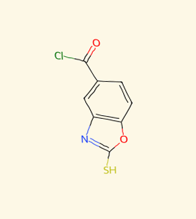 O=C(Cl)c1ccc2oc(S)nc2c1